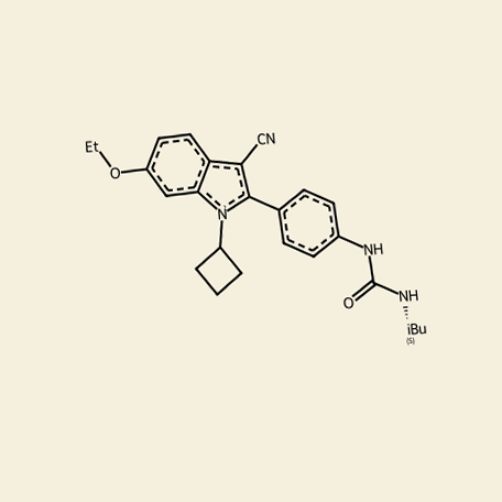 CCOc1ccc2c(C#N)c(-c3ccc(NC(=O)N[C@@H](C)CC)cc3)n(C3CCC3)c2c1